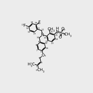 CC(C)=CCOc1ccc(CN(Cc2ccc(F)cc2F)c2cccc(NS(C)(=O)=O)c2C)cc1